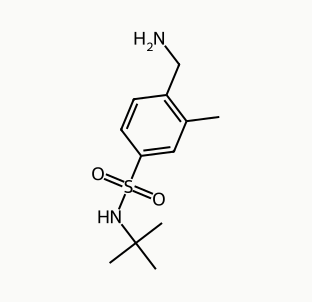 Cc1cc(S(=O)(=O)NC(C)(C)C)ccc1CN